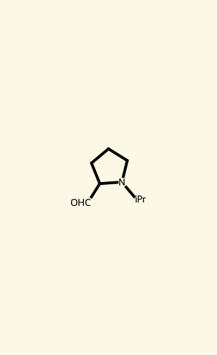 CC(C)N1CCCC1C=O